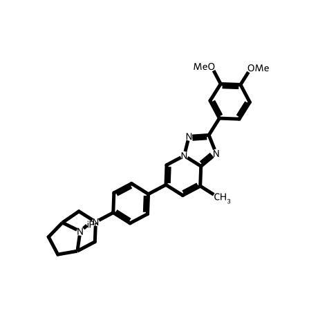 COc1ccc(-c2nc3c(C)cc(-c4ccc(N5CC6CCC(C5)N6C(C)C)cc4)cn3n2)cc1OC